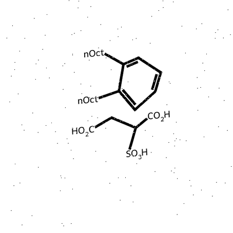 CCCCCCCCc1ccccc1CCCCCCCC.O=C(O)CC(C(=O)O)S(=O)(=O)O